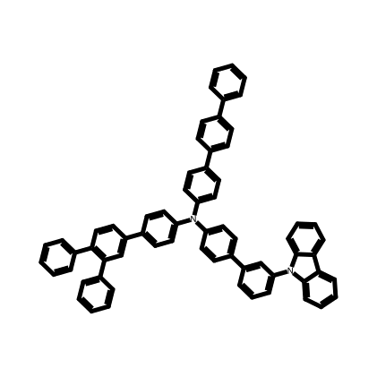 c1ccc(-c2ccc(-c3ccc(N(c4ccc(-c5cccc(-n6c7ccccc7c7ccccc76)c5)cc4)c4ccc(-c5ccc(-c6ccccc6)c(-c6ccccc6)c5)cc4)cc3)cc2)cc1